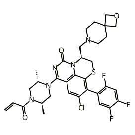 C=CC(=O)N1C[C@H](C)N(c2nc(=O)n3c4c(c(-c5cc(F)c(F)cc5F)c(Cl)cc24)SC[C@@H]3CN2CCC3(CC2)COC3)C[C@H]1C